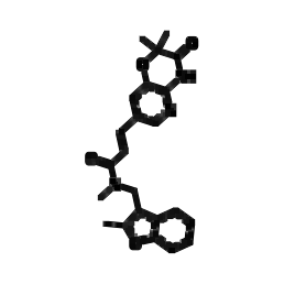 Cc1oc2ccccc2c1CN(C)C(=O)/C=C/c1cnc2c(c1)OC(C)(C)C(=O)N2